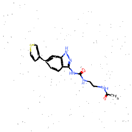 CC(=O)NCCNC(=O)Nc1n[nH]c2cc(-c3ccsc3)ccc12